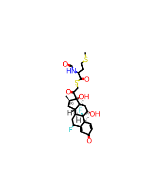 CSCCC(NC=O)C(=O)SCC(=O)[C@@]1(O)[C@H](C)C[C@H]2[C@@H]3CC(F)C4=CC(=O)C=C[C@]4(C)C3(F)[C@@H](O)C[C@@]21C